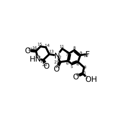 O=C(O)Cc1cc2c(cc1F)CN(C1CCC(=O)NC1=O)C2=O